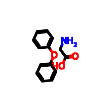 NCC(=O)O.c1ccc(Oc2ccccc2)cc1